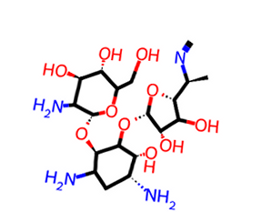 C=N[C@@H](C)[C@H]1O[C@@H](OC2[C@H](O[C@H]3OC(CO)[C@@H](O)[C@H](O)C3N)C(N)C[C@@H](N)[C@H]2O)[C@@H](O)C1O